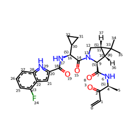 C=CC(=O)[C@H](C)NC(=O)[C@@H]1[C@@H]2[C@H](CN1C(=O)[C@@H](NC(=O)c1cc3c(F)cccc3[nH]1)C1CC1)C2(C)C